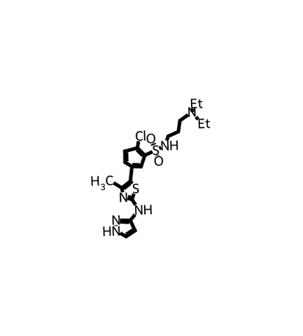 CCN(CC)CCCNS(=O)(=O)c1cc(-c2sc(Nc3cc[nH]n3)nc2C)ccc1Cl